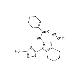 Cc1noc(-c2c(NC(=O)C3=CCCCC3)sc3c2CCCC3)n1.O=C(O)O